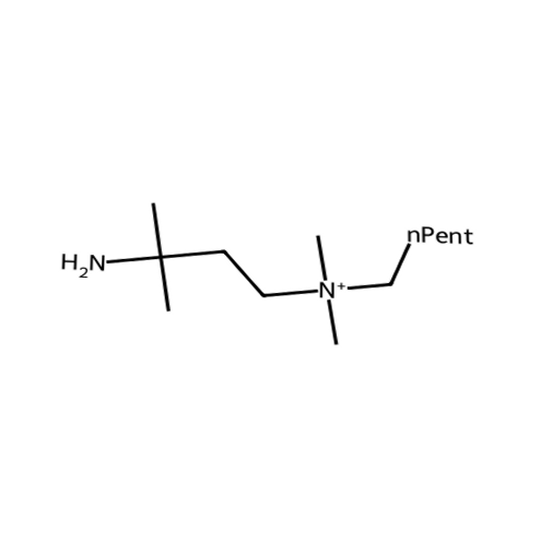 CCCCCC[N+](C)(C)CCC(C)(C)N